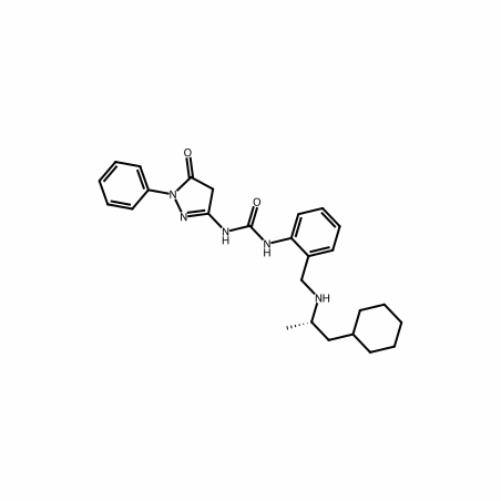 C[C@@H](CC1CCCCC1)NCc1ccccc1NC(=O)NC1=NN(c2ccccc2)C(=O)C1